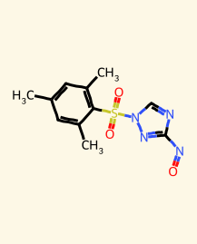 Cc1cc(C)c(S(=O)(=O)n2cnc(N=O)n2)c(C)c1